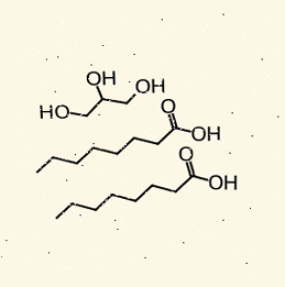 CCCCCCCC(=O)O.CCCCCCCC(=O)O.OCC(O)CO